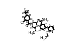 CCOc1ncccc1-c1ccc(N2CCN(C(=O)c3ccc(C(F)(F)F)cc3Cl)C[C@H]2CC)c(C(N)=O)c1